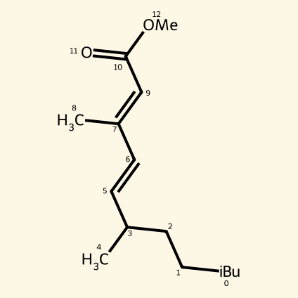 CCC(C)CCC(C)/C=C/C(C)=C/C(=O)OC